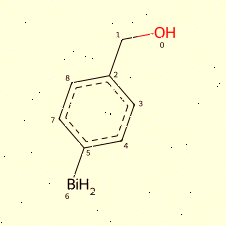 OCc1cc[c]([BiH2])cc1